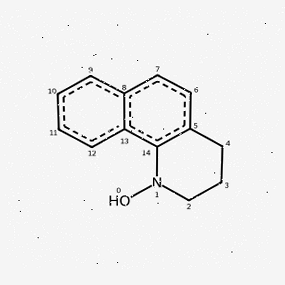 ON1CCCc2ccc3ccccc3c21